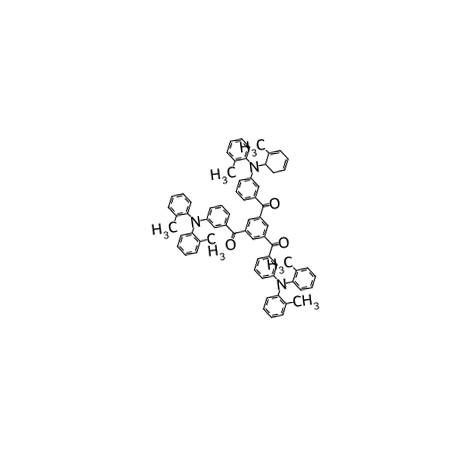 CC1=CC=CCC1N(c1cccc(C(=O)c2cc(C(=O)c3cccc(N(c4ccccc4C)c4ccccc4C)c3)cc(C(=O)c3cccc(N(c4ccccc4C)c4ccccc4C)c3)c2)c1)c1ccccc1C